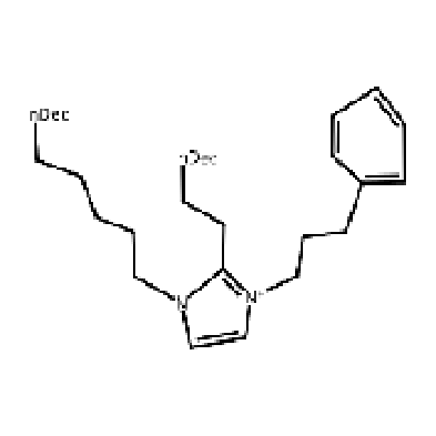 CCCCCCCCCCCCCCCn1cc[n+](CCCc2ccccc2)c1CCCCCCCCCCCC